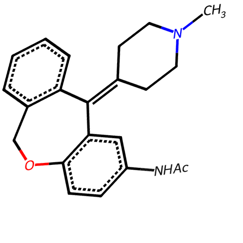 CC(=O)Nc1ccc2c(c1)C(=C1CCN(C)CC1)c1ccccc1CO2